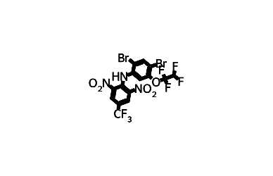 O=[N+]([O-])c1cc(C(F)(F)F)cc([N+](=O)[O-])c1Nc1cc(OC(F)(F)C(F)F)c(Br)cc1Br